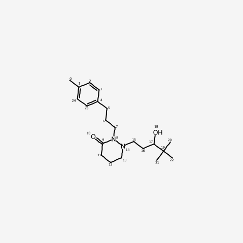 Cc1ccc(CCCN2C(=O)CCCN2CCC(O)C(C)(C)C)cc1